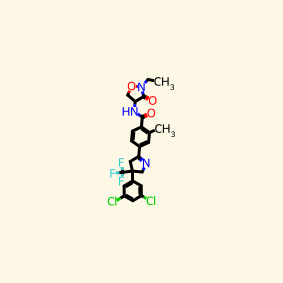 CCN1OCC(NC(=O)c2ccc(C3=NCC(c4cc(Cl)cc(Cl)c4)(C(F)(F)F)C3)cc2C)C1=O